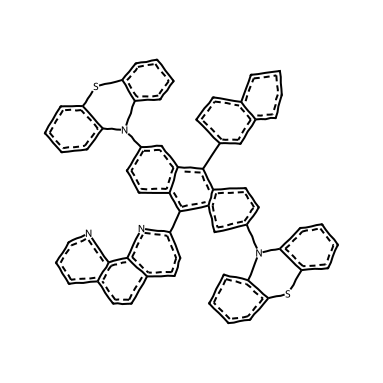 c1ccc2c(c1)Sc1ccccc1N2c1ccc2c(-c3ccc4ccc5cccnc5c4n3)c3cc(N4c5ccccc5Sc5ccccc54)ccc3c(-c3ccc4ccccc4c3)c2c1